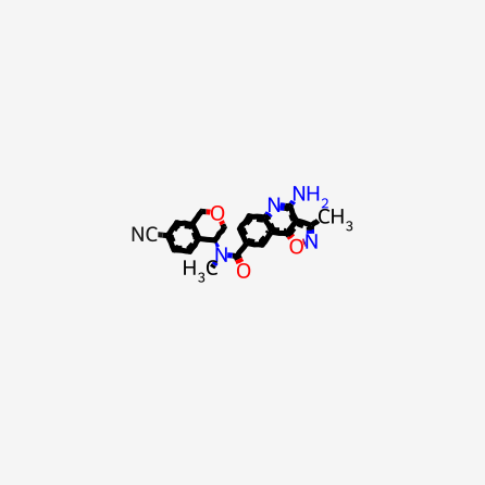 Cc1noc2c1c(N)nc1ccc(C(=O)N(C)[C@@H]3COCc4cc(C#N)ccc43)cc12